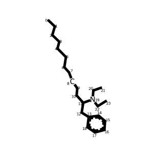 CCCCCCCCCCCC(Cc1ccccc1)N(CC)CC